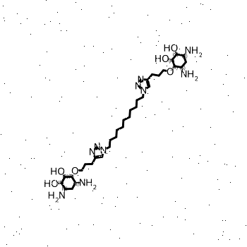 N[C@@H]1C[C@H](N)[C@@H](OCCCc2cn(CCCCCCCCCCCn3cc(CCCO[C@H]4[C@H](O)[C@@H](O)[C@H](N)C[C@@H]4N)nn3)nn2)[C@H](O)[C@H]1O